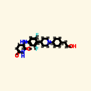 O=C1CCC(Nc2cc(F)c(C3CCN(C4CCC(CCO)CC4)CC3)c(F)c2)C(=O)N1